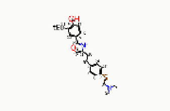 CN(C)CSc1ccc(CCc2coc(-c3ccc(O)c(C(C)(C)C)c3)n2)cc1